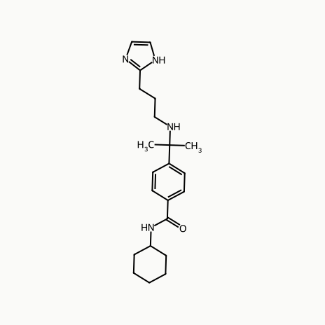 CC(C)(NCCCc1ncc[nH]1)c1ccc(C(=O)NC2CCCCC2)cc1